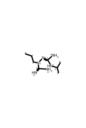 CCCN(N=C(N)NC(C)C)C(=N)N